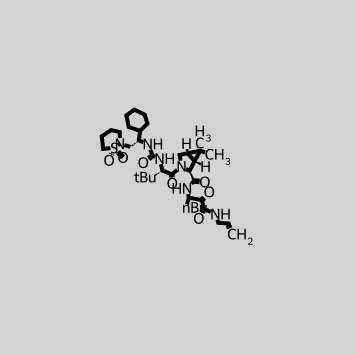 C=CCNC(=O)C(=O)C(CCCC)NC(=O)[C@@H]1[C@@H]2[C@H](CN1C(=O)[C@@H](NC(=O)N[C@H](CN1CCCCS1(=O)=O)C1CCCCC1)C(C)(C)C)C2(C)C